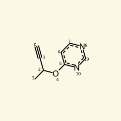 C#CC(C)Oc1ccn[c]n1